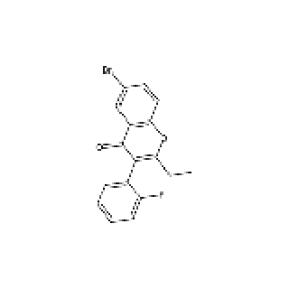 CCc1oc2ccc(Br)cc2c(=O)c1-c1ccccc1F